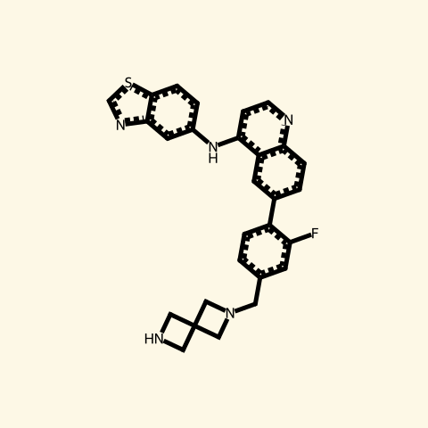 Fc1cc(CN2CC3(CNC3)C2)ccc1-c1ccc2nccc(Nc3ccc4scnc4c3)c2c1